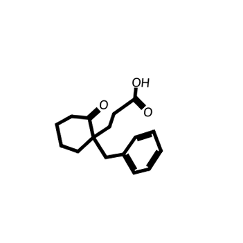 O=C(O)CCC1(Cc2ccccc2)CCCCC1=O